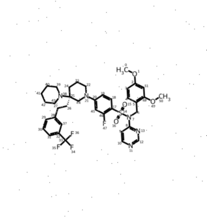 COc1ccc(CN(c2ccncn2)S(=O)(=O)c2ccc(N3CCC[C@](CCc4cccc(C(F)(F)F)c4)(N4CCCCC4)C3)cc2F)c(OC)c1